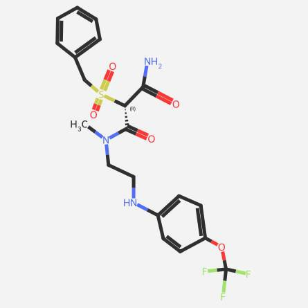 CN(CCNc1ccc(OC(F)(F)F)cc1)C(=O)[C@@H](C(N)=O)S(=O)(=O)Cc1ccccc1